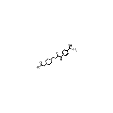 N=C(N)c1ccc(NC(=O)CCN2CCC(CC(=O)O)CC2)cc1